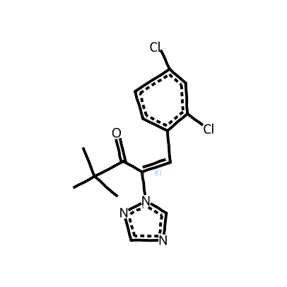 CC(C)(C)C(=O)/C(=C\c1ccc(Cl)cc1Cl)n1cncn1